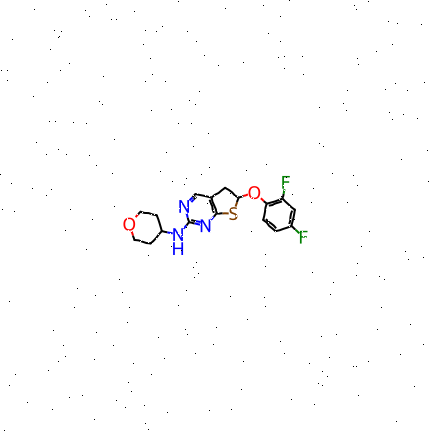 Fc1ccc(OC2Cc3cnc(NC4CCOCC4)nc3S2)c(F)c1